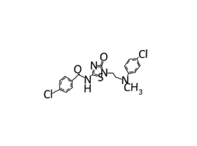 CN(CCn1sc(NC(=O)c2ccc(Cl)cc2)nc1=O)c1ccc(Cl)cc1